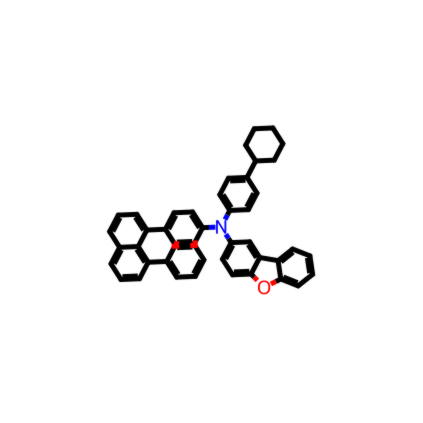 c1ccc(-c2cccc3cccc(-c4ccc(N(c5ccc(C6CCCCC6)cc5)c5ccc6oc7ccccc7c6c5)cc4)c23)cc1